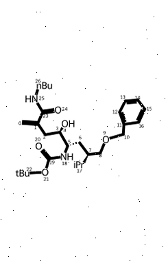 C=C(C[C@@H](O)[C@H](C[C@@H](COCc1ccccc1)C(C)C)NC(=O)OC(C)(C)C)C(=O)NCCCC